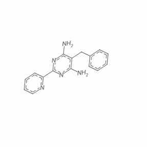 Nc1nc(-c2ccccn2)nc(N)c1Cc1ccccc1